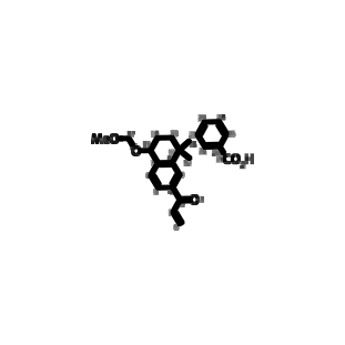 C=CC(=O)c1ccc2c(c1)C(C)(C)CCC2OCOC.O=C(O)c1ccccc1